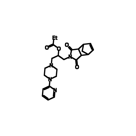 CCC(=O)OC(CN1CCN(c2ccccn2)CC1)CN1C(=O)C2C3C=CC(C3)C2C1=O